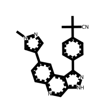 Cn1cc(-c2ccc3ncc4[nH]nc(-c5ccc(C(C)(C)C#N)cc5)c4c3c2)cn1